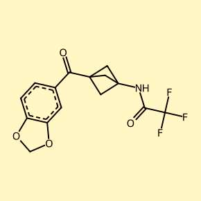 O=C(NC12CC(C(=O)c3ccc4c(c3)OCO4)(C1)C2)C(F)(F)F